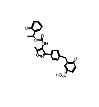 Cc1onc(-c2ccc(Cc3cc(C(=O)O)ccc3Cl)cc2)c1NC(=O)OC(C)c1ccccc1Cl